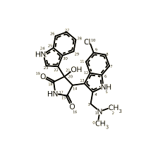 CN(C)Cc1[nH]c2ccc(Cl)cc2c1C1C(=O)NC(=O)C1(O)c1c[nH]c2ccccc12